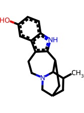 CC1CC2CC3c4[nH]c5ccc(O)cc5c4CCN(C2)C13